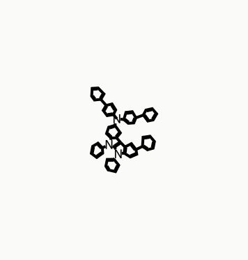 c1ccc(-c2ccc(N(c3ccc(-c4ccccc4)cc3)c3ccc4c(c3)c3c5cc(-c6ccccc6)ccc5n(-c5ccccc5)c3n4-c3ccccc3)cc2)cc1